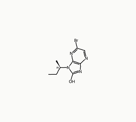 CC[C@@H](C)n1c(O)nc2ncc(Br)nc21